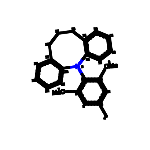 COc1cc(C)cc(OC)c1N1c2ccccc2CCCc2ccccc21